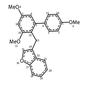 COc1ccc(-c2cc(OC)cc(OC)c2Cc2coc3ccccc23)cc1